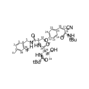 Cc1ccc(CNC(=O)C(COc2ccc(C=C(C#N)C(=O)NC(C)(C)C)cc2)NC(=O)[C@@H](NC(=O)C(C)(C)C)[C@@H](C)O)c(F)c1